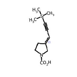 C[Si](C)(C)C#C/C=C1\CCN(C(=O)O)C1